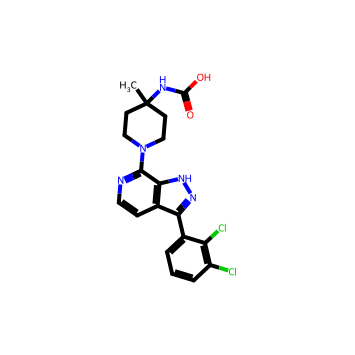 CC1(NC(=O)O)CCN(c2nccc3c(-c4cccc(Cl)c4Cl)n[nH]c23)CC1